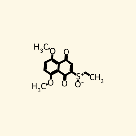 CC[S+]([O-])C1=CC(=O)c2c(OC)ccc(OC)c2C1=O